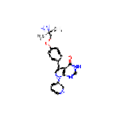 CC(C)(N)COc1ccc(-c2cn(-c3cccnc3)c3nc[nH]c(=O)c23)cc1